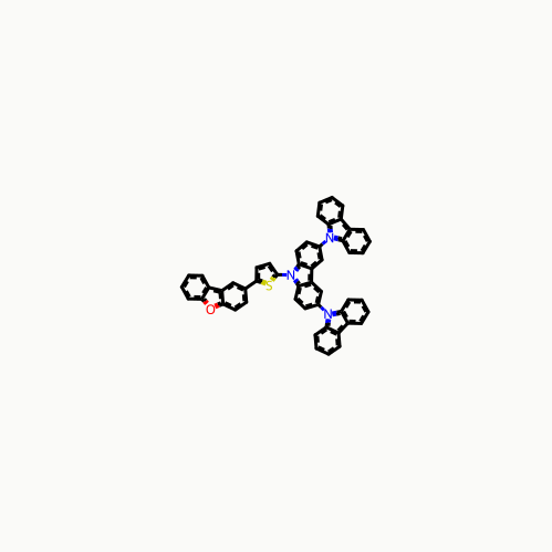 c1ccc2c(c1)oc1ccc(-c3ccc(-n4c5ccc(-n6c7ccccc7c7ccccc76)cc5c5cc(-n6c7ccccc7c7ccccc76)ccc54)s3)cc12